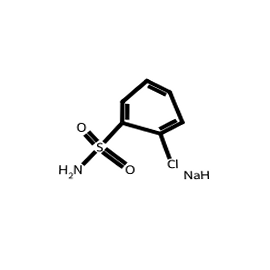 NS(=O)(=O)c1ccccc1Cl.[NaH]